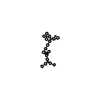 CC1(C)c2ccccc2-c2ccc(N(c3ccc(-c4ccc(-c5ccc(-c6cccc7c8cc(-c9ccc(N(c%10ccc(-c%11ccccc%11)cc%10)c%10ccc(-c%11ccccc%11)cc%10)cc9)cc9c%10ccccc%10n(c67)c98)cc5)cc4)cc3)c3ccc4c(c3)C(c3ccccc3)(c3ccccc3)c3ccccc3-4)cc21